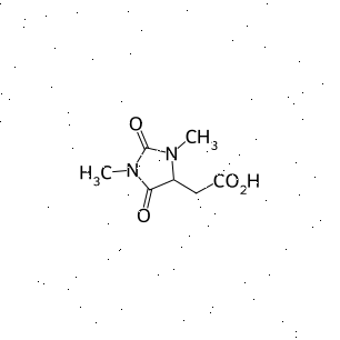 CN1C(=O)C(CC(=O)O)N(C)C1=O